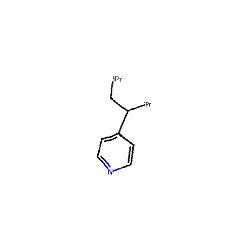 CC(C)CC(c1ccncc1)C(C)C